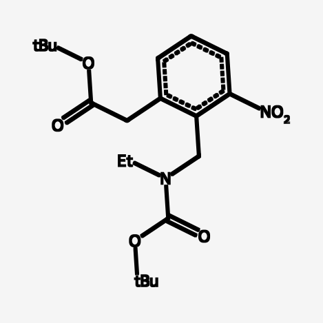 CCN(Cc1c(CC(=O)OC(C)(C)C)cccc1[N+](=O)[O-])C(=O)OC(C)(C)C